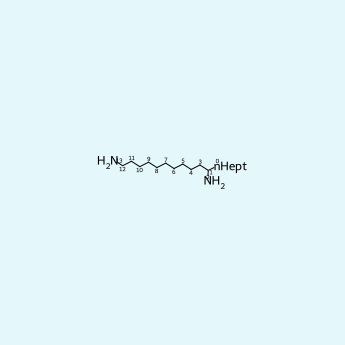 CCCCCCCC(N)CCCCCCCCCCN